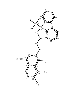 Cc1c(CCCO[Si](c2ccccc2)(c2ccccc2)C(C)(C)C)[nH]c(=O)c2cnc(Cl)c(F)c12